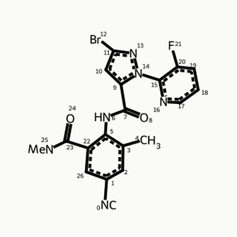 [C-]#[N+]c1cc(C)c(NC(=O)c2cc(Br)nn2-c2ncccc2F)c(C(=O)NC)c1